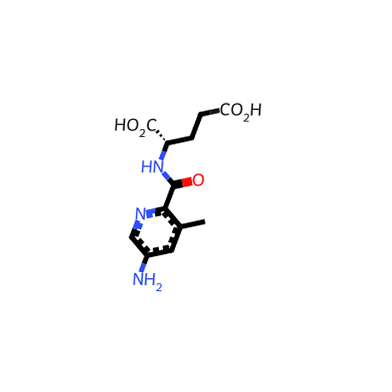 Cc1cc(N)cnc1C(=O)N[C@@H](CCC(=O)O)C(=O)O